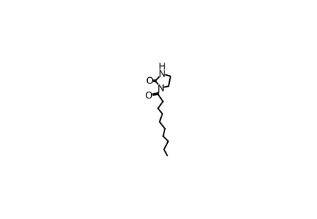 CCCCCCCCCC(=O)N1CCNC1=O